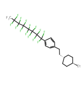 CC[C@H]1CC[C@H](CCc2ccc(C(F)(F)C(F)(F)C(F)(F)C(F)(F)C(F)(F)C(F)(F)C(F)(F)C(F)(F)F)cc2)CC1